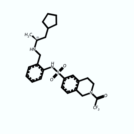 C[C@@H](CC1CCCC1)NCc1ccccc1NS(=O)(=O)c1ccc2c(c1)CCN(C(=O)C(F)(F)F)C2